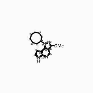 COc1nn(C2CCCCCCC2)c2c1cnc1[nH]ccc12